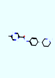 O=C(NC1=CCC([C@@H]2CCCNC2)C=C1)c1cnc(C(F)(F)F)cn1